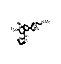 CNCCn1cc(-c2ccc3c(c2)C(Nc2ncccn2)CC(C)N3C(C)=O)cn1